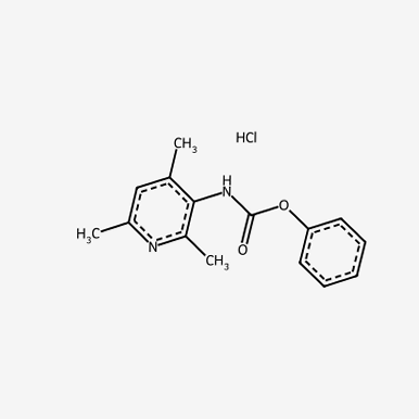 Cc1cc(C)c(NC(=O)Oc2ccccc2)c(C)n1.Cl